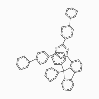 c1ccc(-c2ccc(-c3cc(-c4cccc5c4C(c4ccccc4)(c4ccccc4)c4ccccc4-5)nc(-c4ccc(-c5ccccc5)cc4)n3)cc2)cc1